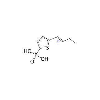 CC/C=C/c1ccc(P(=O)(O)O)s1